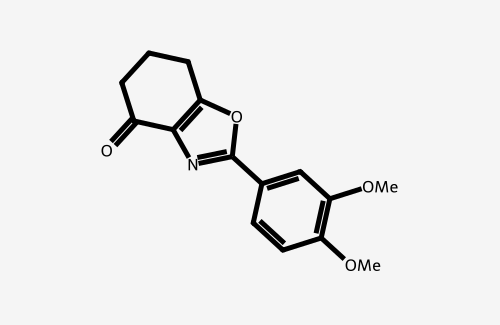 COc1ccc(-c2nc3c(o2)CCCC3=O)cc1OC